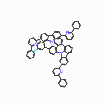 N#Cc1c(-n2c3cc(-c4cccc(-c5ccccc5)n4)ccc3c3cccc(-c4ccccc4)c32)ccc(-c2cc(F)cc(F)c2)c1-n1c2cc(-c3cccc(-c4ccccc4)n3)ccc2c2ccc(-c3cccc(-c4ccccc4)n3)cc21